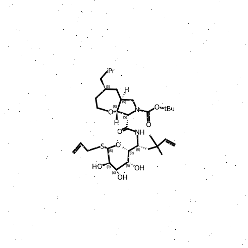 C=CCS[C@H]1O[C@H]([C@@H](CC(C)(C)C=C)NC(=O)[C@@H]2[C@@H]3OCC[C@@H](CC(C)C)C[C@H]3CN2C(=O)OC(C)(C)C)[C@H](O)[C@H](O)[C@H]1O